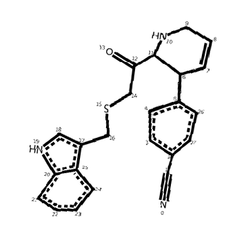 N#Cc1ccc(C2C=CCNC2C(=O)CSCc2c[nH]c3ccccc23)cc1